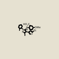 CCc1cc(-c2c(C)nn(-c3ccccc3C)c2Nc2ccc(OC)cc2C(=O)O)co1